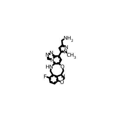 Cn1nc(CN)cc1-c1cc2c(n3cnnc13)NCc1c(F)ccc3c1[C@@H](CO3)CO2